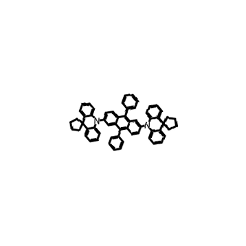 c1ccc(-c2c3ccc(N4c5ccccc5C5(CCCC5)c5ccccc54)cc3c(-c3ccccc3)c3ccc(N4c5ccccc5C5(CCCC5)c5ccccc54)cc23)cc1